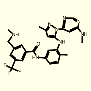 CNCc1cc(C(=O)Nc2ccc(C)c(Nc3cc(C)nn3-c3cc(NC)ncn3)c2)cc(C(F)(F)F)c1